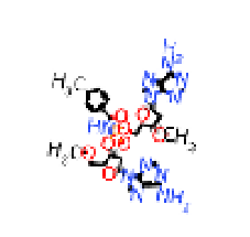 COCC1O[C@@H](n2cnc3c(N)ncnc32)C[C@H]1OP(=O)(NC(=O)c1ccc(C)cc1)OCC1O[C@@H](n2cnc3c(N)ncnc32)C[C@H]1OC